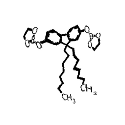 CCCCCCCCC1(CCCCCCCC)c2cc(OB3OCCO3)ccc2-c2ccc(OB3OCCO3)cc21